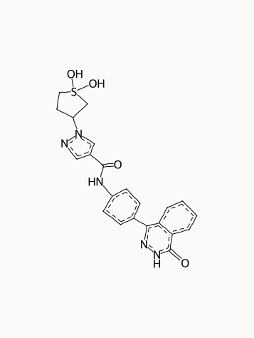 O=C(Nc1ccc(-c2n[nH]c(=O)c3ccccc23)cc1)c1cnn(C2CCS(O)(O)C2)c1